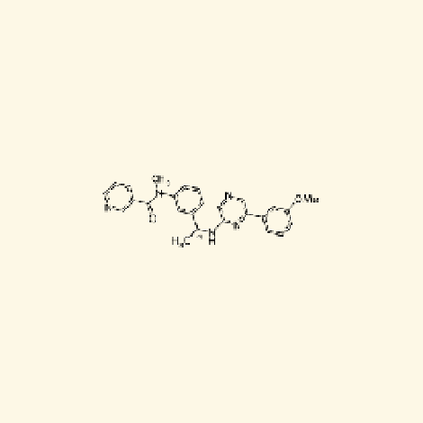 COc1cccc(-c2cncc(N[C@@H](C)c3cccc(N(C)C(=O)c4cccnc4)c3)n2)c1